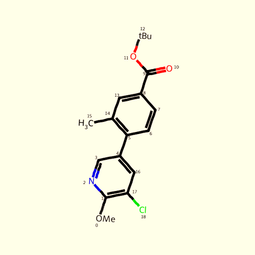 COc1ncc(-c2ccc(C(=O)OC(C)(C)C)cc2C)cc1Cl